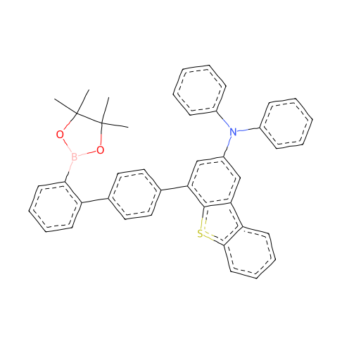 CC1(C)OB(c2ccccc2-c2ccc(-c3cc(N(c4ccccc4)c4ccccc4)cc4c3sc3ccccc34)cc2)OC1(C)C